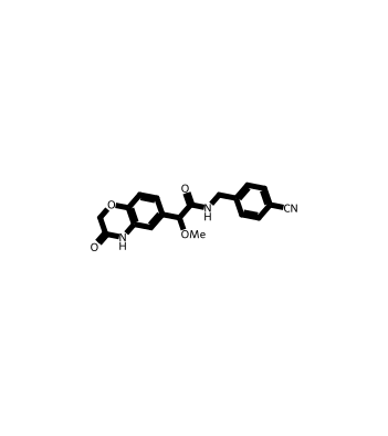 COC(C(=O)NCc1ccc(C#N)cc1)c1ccc2c(c1)NC(=O)CO2